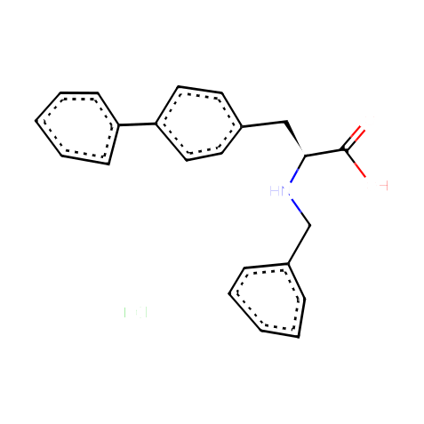 Cl.O=C(O)[C@H](Cc1ccc(-c2ccccc2)cc1)NCc1ccccc1